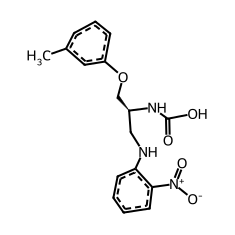 Cc1cccc(OC[C@H](CNc2ccccc2[N+](=O)[O-])NC(=O)O)c1